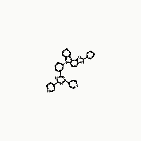 c1ccc(-c2nc3ccc4c(c5ccccc5n4-c4cccc(-c5nc(-c6ccncc6)nc(-c6ccncc6)n5)c4)c3o2)cc1